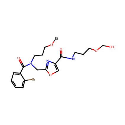 CCOCCCN(Cc1nc(C(=O)NCCCOCO)co1)C(=O)c1ccccc1Br